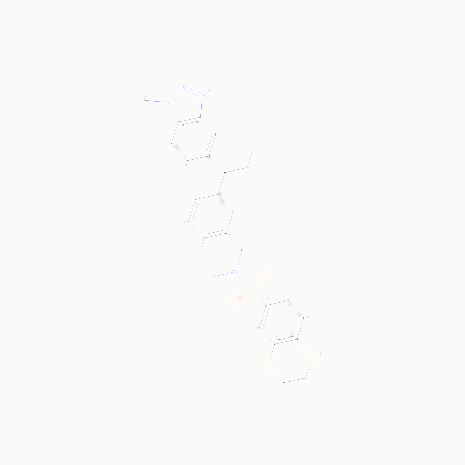 CN(Cc1cc(C(CC(=O)O)c2ccc3c(c2)nnn3C)ccc1Cl)S(=O)(=O)c1ccc2c(c1)OCCO2